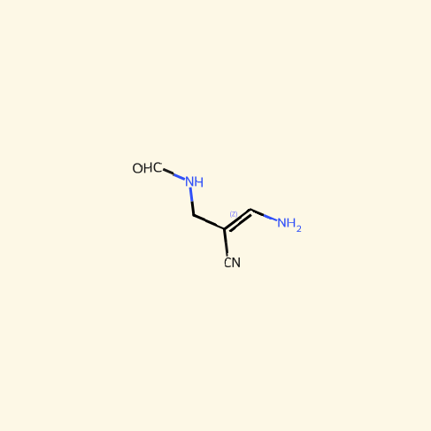 N#C/C(=C\N)CNC=O